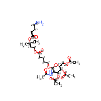 CC(=O)NC1[C@H](OCCCCC(=O)OCCC(C)(C)OC(=O)CCCN)OC(COC(C)=O)[C@H](OC(C)=O)[C@@H]1OC(C)=O